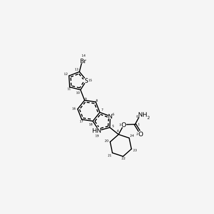 NC(=O)OC1(c2nc3cc(-c4ccc(Br)s4)ccc3[nH]2)CCCCC1